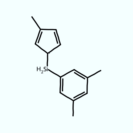 CC1=C[C]([SiH2]c2cc(C)cc(C)c2)C=C1